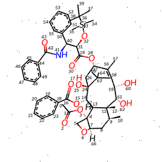 CC(=O)O[C@@]12CO[C@@H]1C[C@H](C)[C@]1(C)[C@@H]2[C@H](OC(=O)c2ccccc2)[C@]2(O)C[C@H](OC(=O)[C@H](O[Si](C)(C)C(C)(C)C)[C@@H](NC(=O)c3ccccc3)c3ccccc3)C(C)=C([C@H](O)[C@@H]1O)C2(C)C